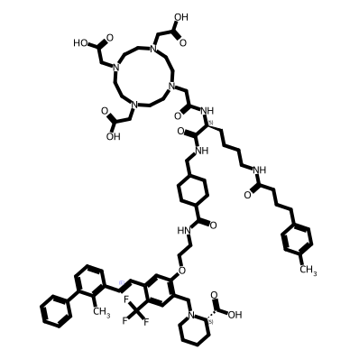 Cc1ccc(CCCC(=O)NCCCC[C@H](NC(=O)CN2CCN(CC(=O)O)CCN(CC(=O)O)CCN(CC(=O)O)CC2)C(=O)NCC2CCC(C(=O)NCCOc3cc(/C=C/c4cccc(-c5ccccc5)c4C)c(C(F)(F)F)cc3CN3CCCC[C@H]3C(=O)O)CC2)cc1